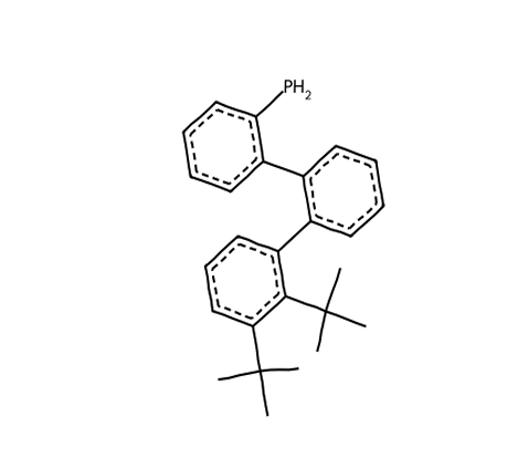 CC(C)(C)c1cccc(-c2ccccc2-c2ccccc2P)c1C(C)(C)C